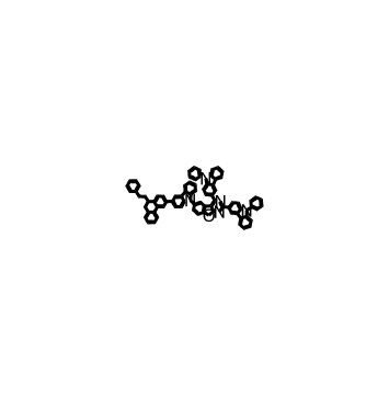 c1ccc(CCC2Cc3ccccc3-c3cc(-c4ccc5c(c4)c4ccccc4n5-c4ccc5oc6nc(-c7ccc8c(c7)c7ccccc7n8-c7ccccc7)nc(-c7ccc8c(c7)c7ccccc7n8-c7ccccc7)c6c5c4)ccc32)cc1